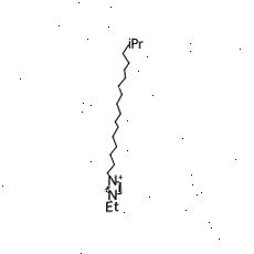 CCn1cc[n+](CCCCCCCCCCCCCCCC(C)C)c1